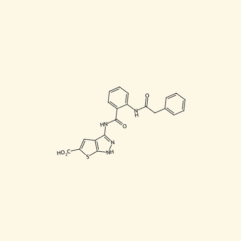 O=C(Cc1ccccc1)Nc1ccccc1C(=O)Nc1n[nH]c2sc(C(=O)O)cc12